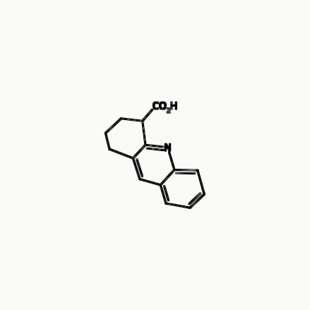 O=C(O)C1CCCc2cc3ccccc3nc21